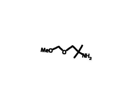 COCOCC(C)(C)N